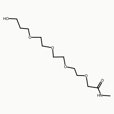 CNC(=O)COCCOCCOCCOCCCO